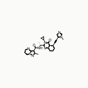 Cc1nn2cccnc2c1C(=O)N[C@H](C)c1nc2cccc(C#Cc3cncn3C)c2c(=O)n1C1CC1